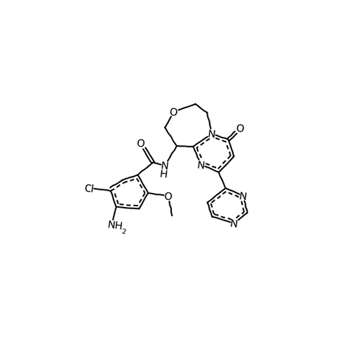 COc1cc(N)c(Cl)cc1C(=O)NC1COCCn2c1nc(-c1ccncn1)cc2=O